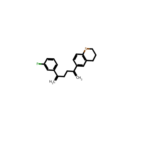 C=C(CCC(=C)c1ccc2c(c1)CCCS2)c1cccc(F)c1